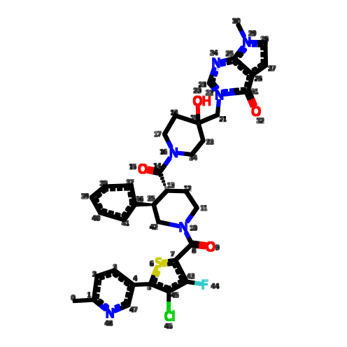 Cc1ccc(-c2sc(C(=O)N3CC[C@@H](C(=O)N4CCC(O)(Cn5cnc6c(ccn6C)c5=O)CC4)[C@H](c4ccccc4)C3)c(F)c2Cl)cn1